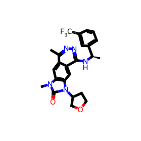 Cc1nnc(N[C@H](C)c2cccc(C(F)(F)F)c2)c2cc3c(cc12)n(C)c(=O)n3C1CCOC1